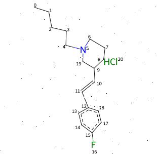 CCCCCN1CCCC(C=Cc2ccc(F)cc2)C1.Cl